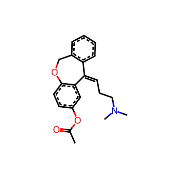 CC(=O)Oc1ccc2c(c1)C(=CCCN(C)C)c1ccccc1CO2